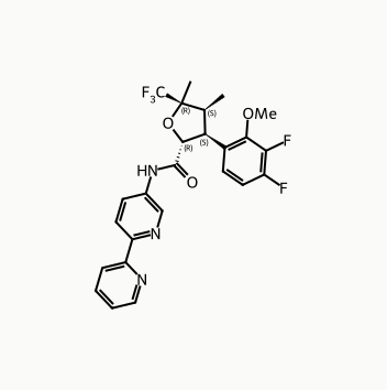 COc1c([C@H]2[C@H](C(=O)Nc3ccc(-c4ccccn4)nc3)O[C@@](C)(C(F)(F)F)[C@H]2C)ccc(F)c1F